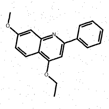 CCOc1cc(-c2ccccc2)nc2cc(OC)ccc12